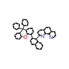 c1ccc(C2(c3ccccc3)c3ccccc3Oc3c(-c4ccc5ccccc5c4-c4ccc5ccc6cccnc6c5n4)cccc32)cc1